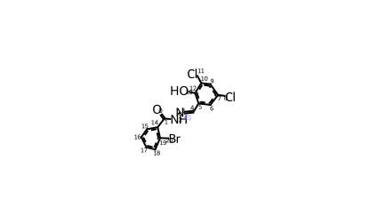 O=C(N/N=C/c1cc(Cl)cc(Cl)c1O)c1ccccc1Br